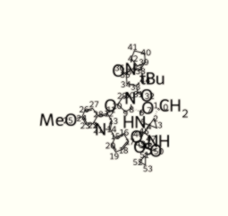 C=C[C@@H]1C[C@]1(NC(=O)[C@@H]1C[C@@H](Oc2cc(-c3ccccc3)nc3cc(OC)ccc23)CN1C(=O)[C@@H](CC(=O)N1CC2CCC1C2)C(C)(C)C)C(=O)NS(=O)(=O)C1CC1